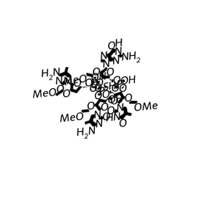 COCCOC1C[C@@H](COP(=O)(O)O[C@@H]2C(OCCOC)[C@H](n3cnc4c(=O)[nH]c(N)nc43)O[C@@H]2COP(=O)(O)O[C@@H]2C(OCCOC)[C@H](n3cc(C)c(=O)[nH]c3=O)O[C@@H]2COP(=O)(S)O[C@@H]2C(OCCOC)[C@H](n3cc(C)c(N)nc3=O)O[C@@H]2CO)O[C@H]1n1cc(C)c(N)nc1=O